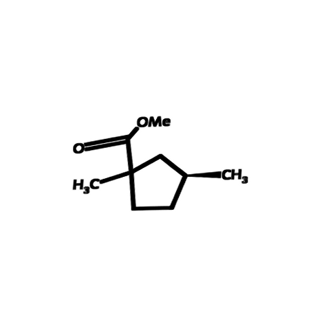 COC(=O)C1(C)CC[C@H](C)C1